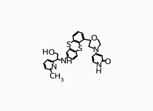 Cc1cccc(C(CO)Nc2ccc3c(c2)Sc2cccc(C4CN(c5cc[nH]c(=O)c5)CCO4)c2S3)n1